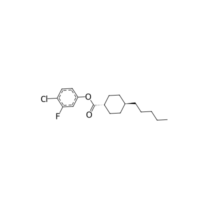 CCCCC[C@H]1CC[C@H](C(=O)Oc2ccc(Cl)c(F)c2)CC1